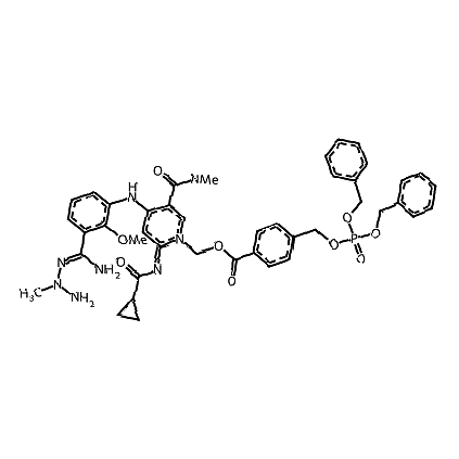 CNC(=O)c1cn(COC(=O)c2ccc(COP(=O)(OCc3ccccc3)OCc3ccccc3)cc2)/c(=N/C(=O)C2CC2)cc1Nc1cccc(/C(N)=N/N(C)N)c1OC